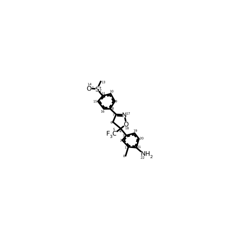 Cc1cc(C2(C(F)(F)F)CC(c3ccc([S+](C)[O-])cc3)=NO2)ccc1N